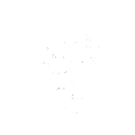 Cc1cc(-c2ccc(-c3ccoc3)cc2)n(-c2ccc(S(C)(=O)=O)cc2)c1